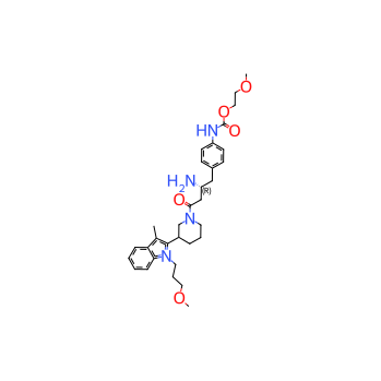 COCCCn1c(C2CCCN(C(=O)C[C@H](N)Cc3ccc(NC(=O)OCCOC)cc3)C2)c(C)c2ccccc21